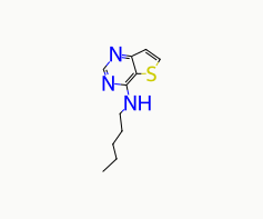 CCCCCNc1ncnc2ccsc12